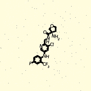 N[C@@]1(C(=O)NCc2ncc(Nc3ccc(F)cc3C(F)(F)F)cc2Cl)CCOC1